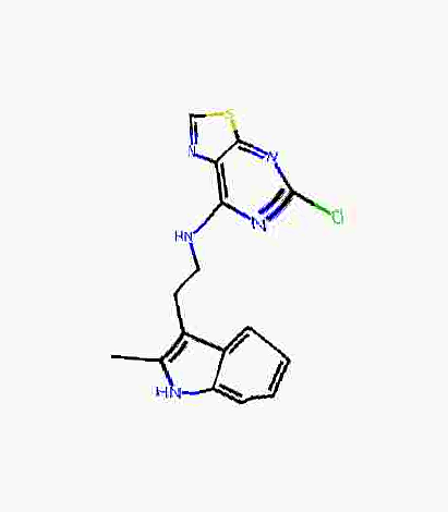 Cc1[nH]c2ccccc2c1CCNc1nc(Cl)nc2scnc12